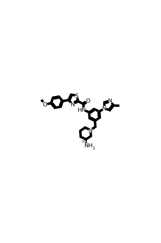 COc1ccc(-c2csc(C(=O)Nc3cc(CN4CCC[C@H](N)C4)cc(-n4cnc(C)c4)c3)n2)cc1